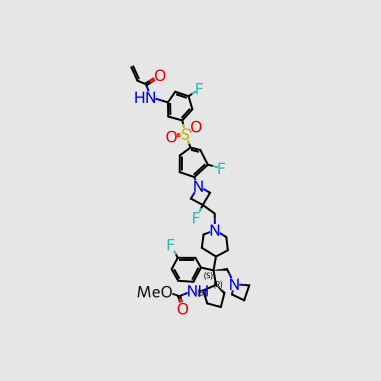 C=CC(=O)Nc1cc(F)cc(S(=O)(=O)c2ccc(N3CC(F)(CN4CCC([C@@](CN5CCC5)(c5cccc(F)c5)[C@H]5CCC[C@@H]5NC(=O)OC)CC4)C3)c(F)c2)c1